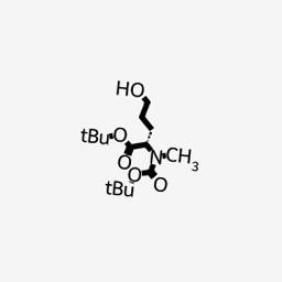 CN(C(=O)OC(C)(C)C)[C@@H](CCCO)C(=O)OC(C)(C)C